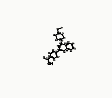 CCN1CCN(c2nc(-c3ccc(C(C)O)cc3)cc3ccccc23)CC1